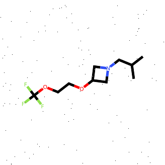 CC(C)CN1CC(OCCOC(F)(F)F)C1